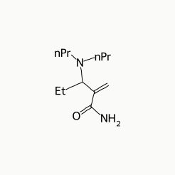 C=C(C(N)=O)C(CC)N(CCC)CCC